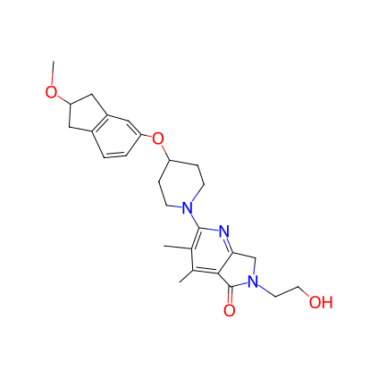 COC1Cc2ccc(OC3CCN(c4nc5c(c(C)c4C)C(=O)N(CCO)C5)CC3)cc2C1